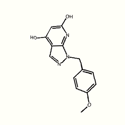 COc1ccc(Cn2ncc3c(O)cc(O)nc32)cc1